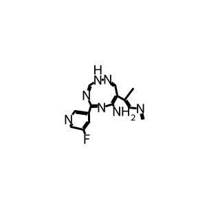 C=N/C=C(\C)c1cn[nH]cnc(-c2cncc(F)c2)nc1N